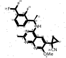 COc1nc2nc(C)nc(N[C@H](C)c3cccc(C(F)F)c3F)c2cc1C1(C#N)CC1